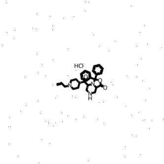 C=CCN1CCC(C(=O)C2CNCC3C(=O)OC(c4ccccc4)(c4ccccc4)N32)CC1.Cl